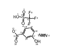 N#N.O=S(=O)(O)C(F)(F)F.O=[N+]([O-])c1cccc(O)c1